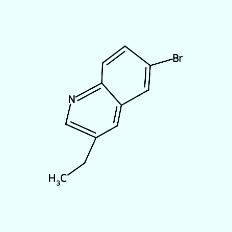 CCc1cnc2ccc(Br)cc2c1